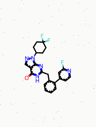 O=c1[nH]c(Cc2ccccc2-c2ccnc(F)c2)nc2c1cnn2C1CCC(F)(F)CC1